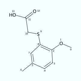 COc1ccc(C)cc1SCC(=O)O